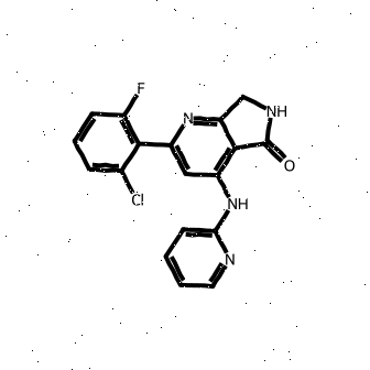 O=C1NCc2nc(-c3c(F)cccc3Cl)cc(Nc3ccccn3)c21